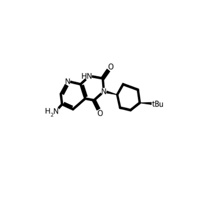 CC(C)(C)[C@H]1CC[C@@H](n2c(=O)[nH]c3ncc(N)cc3c2=O)CC1